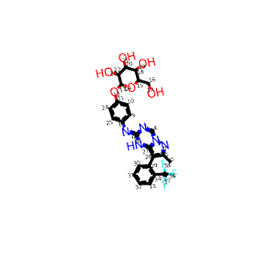 Cc1nn2cnc(=Nc3ccc(OC4OC(CO)C(O)C(O)C4O)cc3)[nH]c2c1-c1ccccc1C(F)(F)F